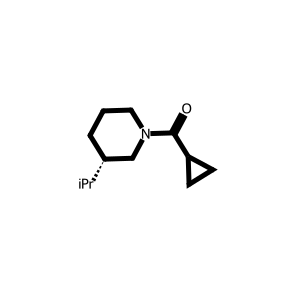 CC(C)[C@@H]1CCCN(C(=O)C2CC2)C1